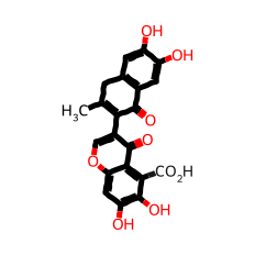 CC1=C(c2coc3cc(O)c(O)c(C(=O)O)c3c2=O)C(=O)c2cc(O)c(O)cc2C1